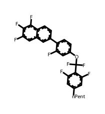 CCCCCc1cc(F)c(C(F)(F)Oc2ccc(-c3ccc4c(F)c(F)c(F)cc4c3)c(F)c2)c(F)c1